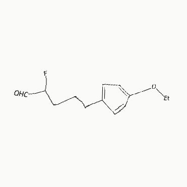 CCOc1ccc(CCCC(F)C=O)cc1